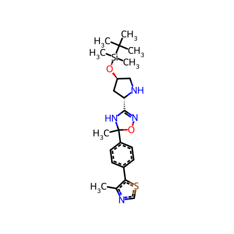 Cc1ncsc1-c1ccc(C2(C)NC([C@@H]3C[C@@H](O[Si](C)(C)C(C)(C)C)CN3)=NO2)cc1